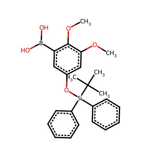 COc1cc(O[Si](c2ccccc2)(c2ccccc2)C(C)(C)C)cc(B(O)O)c1OC